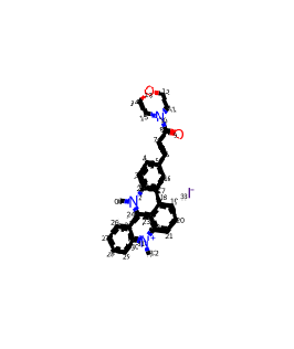 CN1c2ccc(/C=C/C(=O)N3CCOCC3)cc2-c2cccc3c2c1c1ccccc1[n+]3C.[I-]